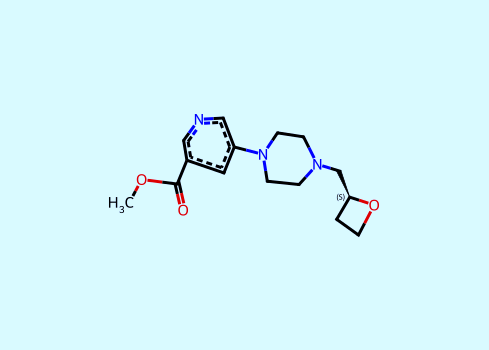 COC(=O)c1cncc(N2CCN(C[C@@H]3CCO3)CC2)c1